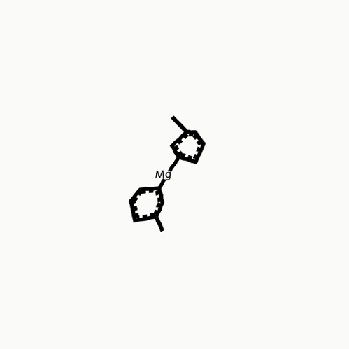 Cc1ccc[c]([Mg][c]2cccc(C)c2)c1